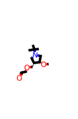 CO[C@@H]1CN(C(C)(C)C)C[C@H]1COCC=O